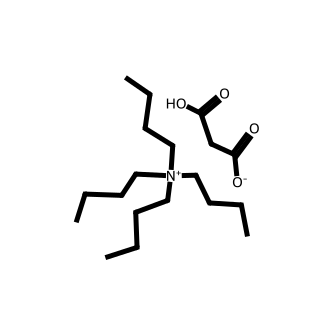 CCCC[N+](CCCC)(CCCC)CCCC.O=C([O-])CC(=O)O